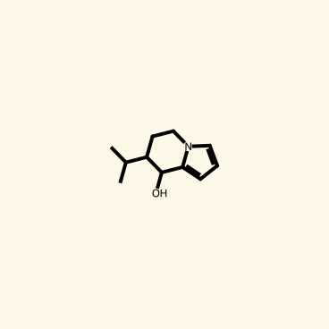 CC(C)C1CCn2cccc2C1O